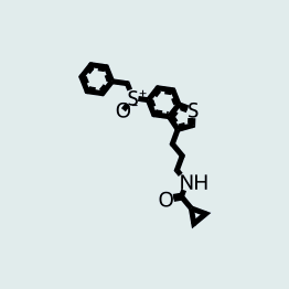 O=C(NCCCc1csc2ccc([S+]([O-])Cc3ccccc3)cc12)C1CC1